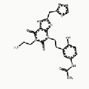 CCCn1c(=O)c2[nH]c(Cc3nnco3)nc2n(CCc2cc(NC(C)=O)ccc2O)c1=O